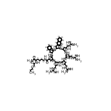 CCCOCC(=O)NC(CCCCNC(=O)CCC1NC(=O)[C@@H](CCCNC(=N)N)NC(=O)C(CCCNC(=N)N)NC(=O)[C@@H](CCCNC(=N)N)NC(=O)C(CCCNC(=N)N)NC(=O)C(Cc2ccc3ccccc3c2)NC(=O)C(Cc2ccccc2)NC1=O)C(N)=O